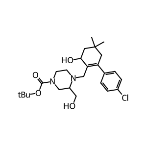 CC1(C)CC(c2ccc(Cl)cc2)=C(CN2CCN(C(=O)OC(C)(C)C)CC2CO)C(O)C1